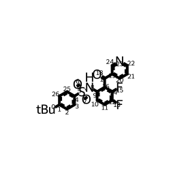 CC(C)(C)c1ccc(S(=O)(=O)Nc2ccc(F)c(F)c2C(=O)c2cccnc2)cc1